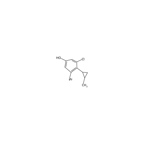 CC(C)c1cc(O)cc(Cl)c1C1CC1C